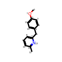 COc1ccc(Cc2cccc(C)n2)cc1